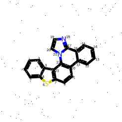 c1ccc2c(c1)sc1ccc3c4ccccc4c4nccn4c3c12